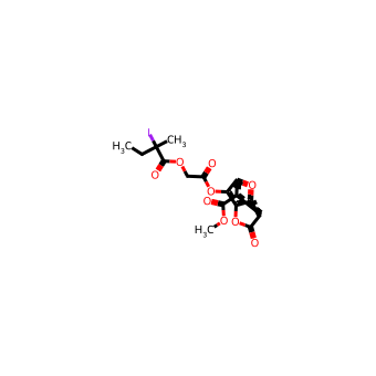 CCC(C)(I)C(=O)OCC(=O)Oc1c2c3oc1c(C(=O)OC)c3C(=O)O2